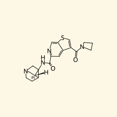 O=C(N[C@H]1CN2CCC1CC2)c1cc2c(C(=O)N3CCC3)csc2cn1